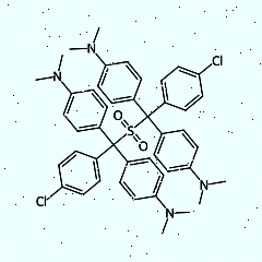 CN(C)c1ccc(C(c2ccc(Cl)cc2)(c2ccc(N(C)C)cc2)S(=O)(=O)C(c2ccc(Cl)cc2)(c2ccc(N(C)C)cc2)c2ccc(N(C)C)cc2)cc1